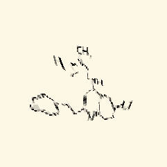 CN(C)CCNc1cc(C=Cc2ccncc2)nc2ccc(Cl)cc12